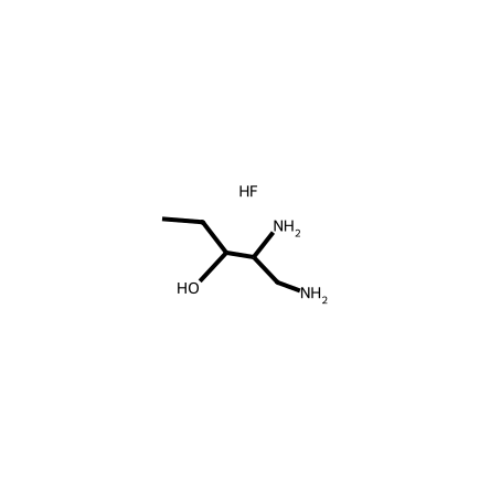 CCC(O)C(N)CN.F